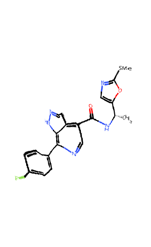 CSc1ncc([C@H](C)NC(=O)c2cnc(-c3ccc(F)cc3)c3[nH]ncc23)o1